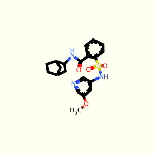 COc1cncc(NS(=O)(=O)c2ccccc2C(=O)NC2CC3CCC2C3)c1